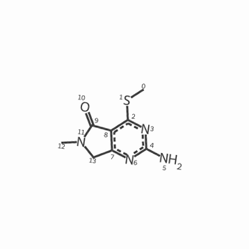 CSc1nc(N)nc2c1C(=O)N(C)C2